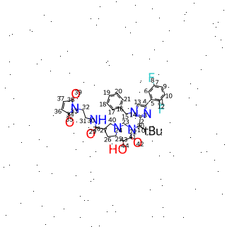 CC(C)(C)[C@H](c1nc(-c2cc(F)ccc2F)cn1Cc1ccccc1)N(CN1CCC(C(=O)NCCN2C(=O)C=CC2=O)C1)C(=O)CO